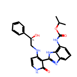 CC(C)OC(=O)Nc1cccc2nc(-c3c(NC[C@H](O)c4ccccc4)cc[nH]c3=O)[nH]c12